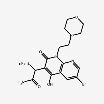 CCCCCC(C(N)=O)c1c(O)c2cc(Br)cnc2n(CCN2CCOCC2)c1=O